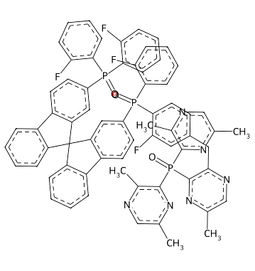 Cc1cnc(C)c(P(=O)(c2nc(C)cnc2C)c2nc(C)cnc2Cc2ccc(P(=O)(c3ccc4c(c3)C3(c5ccccc5-c5ccc(P(=O)(c6ccccc6F)c6ccccc6F)cc53)c3ccccc3-4)c3ccccc3F)c(F)c2)n1